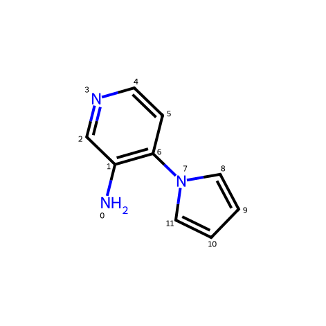 Nc1cnccc1-n1cccc1